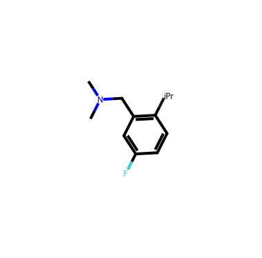 CC(C)c1ccc(F)cc1CN(C)C